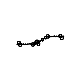 C=CC(=O)OCCCCCCCCCCCOc1ccc(OC(=O)C#Cc2ccc(C3CCC(OCCCCCCCCCCCOC(=O)C=C)CC3)cc2)cc1